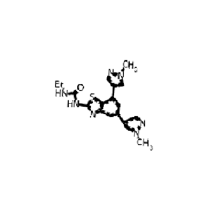 CCNC(=O)Nc1nc2cc(-c3cnn(C)c3)cc(-c3cnn(C)c3)c2s1